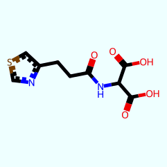 O=C(CCc1cscn1)NC(C(=O)O)C(=O)O